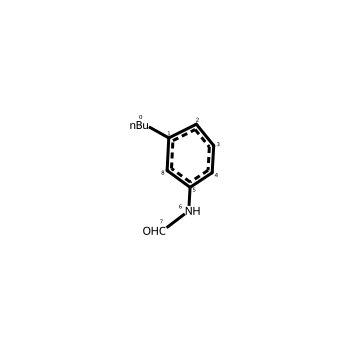 CCCCc1cccc(NC=O)c1